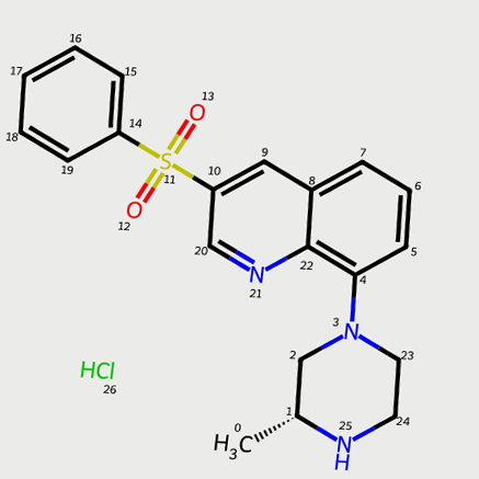 C[C@@H]1CN(c2cccc3cc(S(=O)(=O)c4ccccc4)cnc23)CCN1.Cl